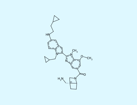 COc1cc(C(=O)N2C[C@]3(CN)CCC23)cc2nc(-c3cc4cc(NCCC5CC5)ccc4n3CC3CC3)n(C)c12